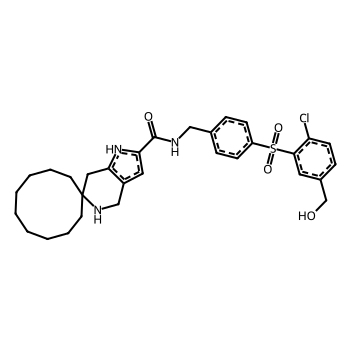 O=C(NCc1ccc(S(=O)(=O)c2cc(CO)ccc2Cl)cc1)c1cc2c([nH]1)CC1(CCCCCCCCC1)NC2